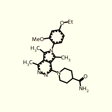 CCOc1ccc(-n2c(C)c3c(C)nnc(N4CCC(C(N)=O)CC4)c3c2C)c(OC)c1